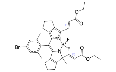 CCOC(=O)/C=C/c1c2c(c3n1[B-](F)(F)N1C(=C3c3c(C)cc(Br)cc3C)C3=C(CCC3)C1(C)/C=C/C(=O)OCC)CCC2